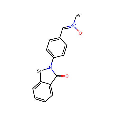 CC(C)[N+]([O-])=Cc1ccc(-n2[se]c3ccccc3c2=O)cc1